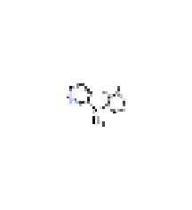 Cc1cccc([SiH2]c2cccnc2)c1C